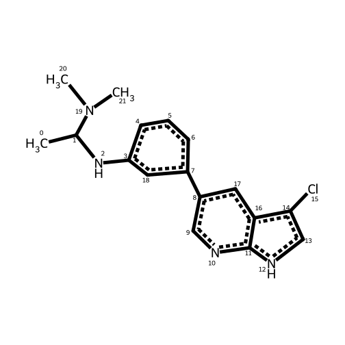 CC(Nc1cccc(-c2cnc3[nH]cc(Cl)c3c2)c1)N(C)C